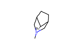 CN1CC2CCC(C1)C2C(C)(C)C